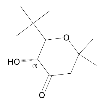 CC1(C)CC(=O)[C@H](O)C(C(C)(C)C)O1